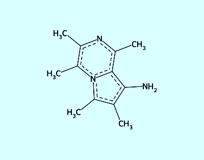 Cc1nc(C)c2c(N)c(C)c(C)n2c1C